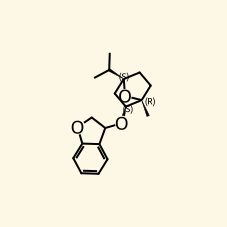 CC(C)[C@@]12CC[C@@](C)(O1)[C@@H](OC1COc3ccccc31)C2